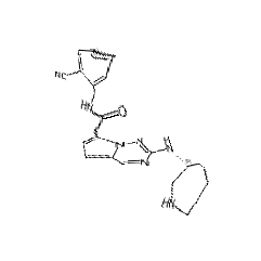 N#Cc1ccccc1NC(=O)c1ccc2cnc(N[C@@H]3CCCCNC3)nn12